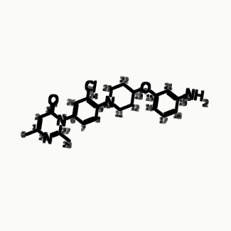 Cc1cc(=O)n(-c2ccc(N3CCC(Oc4cccc(N)c4)CC3)c(Cl)c2)c(C)n1